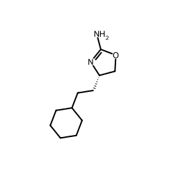 NC1=N[C@@H](CCC2CCCCC2)CO1